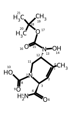 CC1=C[C@@H](C(N)=O)N(C(=O)O)C[C@@H]1N(O)C(=O)OC(C)(C)C